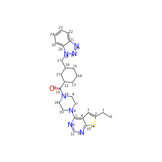 CCc1cc2c(N3CCN(C(=O)C4CCCC(Cn5nnc6ccccc65)C4)CC3)ncnc2s1